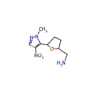 Cn1ncc([N+](=O)[O-])c1C1CCC(CN)O1